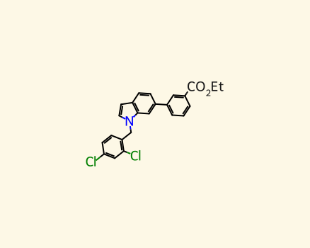 CCOC(=O)c1cccc(-c2ccc3ccn(Cc4ccc(Cl)cc4Cl)c3c2)c1